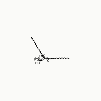 CCCCCCCCCCCCCCCCCC(=O)OCC(CO)(COCC(CO)(CO)CO)COC(=O)CCCCCCCCCCCCCCCCC